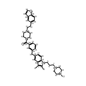 Cc1c(C)n(CCCN2CCN(C)CC2)c2ccc(Cc3cccc(C(=O)N4CCN(CCc5ccc6occc6c5)CC4)c3)cc12